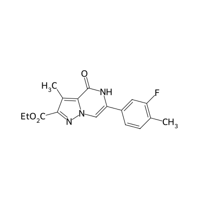 CCOC(=O)c1nn2cc(-c3ccc(C)c(F)c3)[nH]c(=O)c2c1C